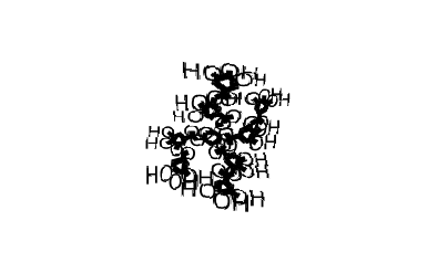 O=C(OC[C@H]1O[C@H](OC(=O)c2cc(O)c(O)c(OC(=O)c3cc(O)c(O)c(O)c3)c2)C[C@@H](OC(=O)c2cc(O)c(O)c(OC(=O)c3cc(O)c(O)c(O)c3)c2)[C@@H]1OC(=O)c1cc(O)c(O)c(OC(=O)c2cc(O)c(O)c(O)c2)c1)c1cc(O)c(O)c(OC(=O)c2cc(O)c(O)c(O)c2)c1